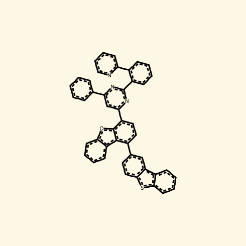 c1ccc(-c2cc(-c3ccc(-c4ccc5sc6ccccc6c5c4)c4c3oc3ccccc34)nc(-c3ccccc3-c3ccccn3)n2)cc1